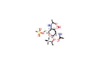 CC(=O)N[C@@H]1[C@H](OC(C)[Si](C)(C)C)O[C@H](COS(C)(=O)=O)[C@@H](NC(C)=O)[C@@H]1O